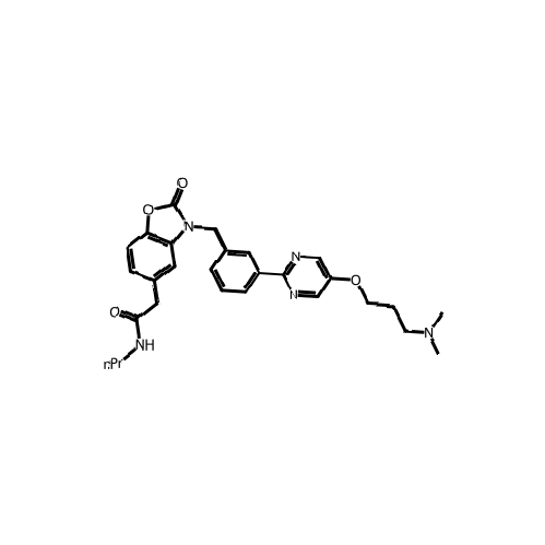 CCCNC(=O)Cc1ccc2oc(=O)n(Cc3cccc(-c4ncc(OCCCN(C)C)cn4)c3)c2c1